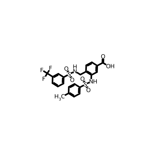 Cc1ccc(S(=O)(=O)Nc2cc(C(=O)O)ccc2CNS(=O)(=O)c2cccc(C(F)(F)F)c2)cc1